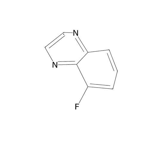 Fc1cccc2n[c]cnc12